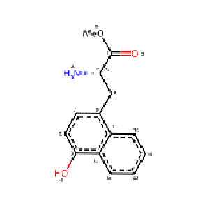 COC(=O)[C@@H](N)Cc1ccc(O)c2ccccc12